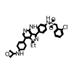 CCn1nc(-c2ccc(NS(=O)(=O)Cc3ccccc3Cl)cc2)c2c(N)ncc(C3=CCC(NC4COC4)CC3)c21